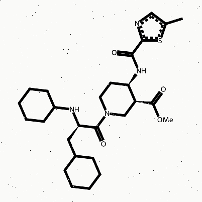 COC(=O)[C@H]1CN(C(=O)[C@@H](CC2CCCCC2)NC2CCCCC2)CC[C@H]1NC(=O)c1ncc(C)s1